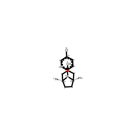 CN1C[C@H]2CC[C@@H](C1)N2c1ccc(Cl)cn1